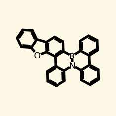 c1ccc2c(c1)B1c3ccc4c(oc5ccccc54)c3-c3ccccc3N1c1ccccc1-2